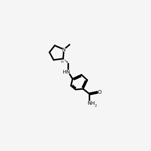 CN1CCC[C@H]1CNc1ccc(C(N)=O)cc1